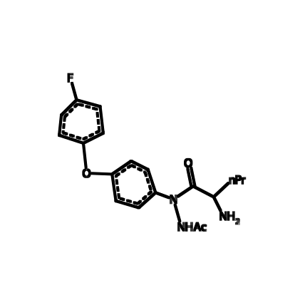 CCCC(N)C(=O)N(NC(C)=O)c1ccc(Oc2ccc(F)cc2)cc1